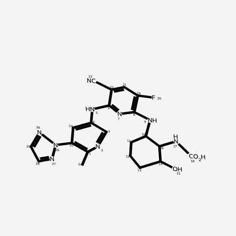 Cc1ncc(Nc2nc(NC3CCCC(O)C3NC(=O)O)c(F)cc2C#N)cc1-n1nccn1